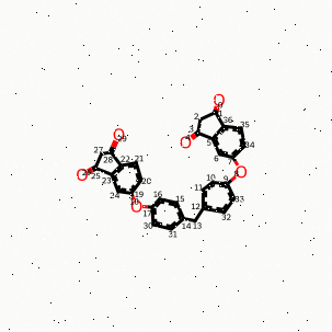 O=C1CC(=O)c2cc(Oc3ccc(Cc4ccc(Oc5ccc6c(c5)C(=O)CC6=O)cc4)cc3)ccc21